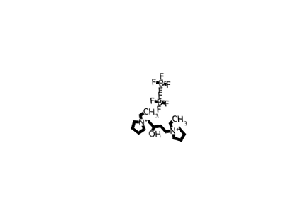 CC[N+]1(CCC(O)C[N+]2(CC)CCCC2)CCCC1.F[B-](F)(F)F.F[B-](F)(F)F